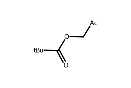 CC(=O)COC(=O)C(C)(C)C